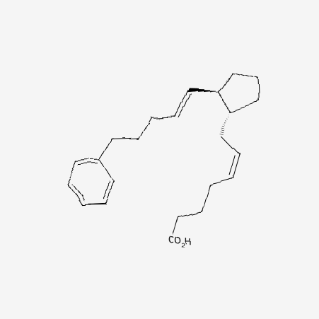 O=C(O)CCC/C=C\C[C@H]1CCC[C@@H]1/C=C/CCCc1ccccc1